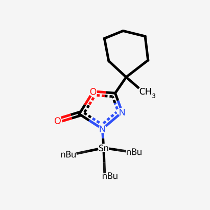 CCC[CH2][Sn]([CH2]CCC)([CH2]CCC)[n]1nc(C2(C)CCCCC2)oc1=O